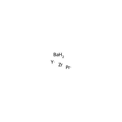 [BaH2].[Pr].[Y].[Zr]